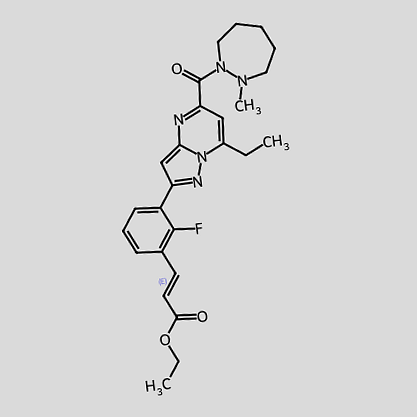 CCOC(=O)/C=C/c1cccc(-c2cc3nc(C(=O)N4CCCCCN4C)cc(CC)n3n2)c1F